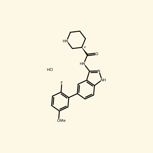 COc1ccc(F)c(-c2ccc3[nH]nc(NC(=O)[C@@H]4CCCNC4)c3c2)c1.Cl